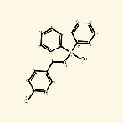 CC(C)(C)[Si](OCc1ccc(Cl)nc1)(c1ccccc1)c1ccccc1